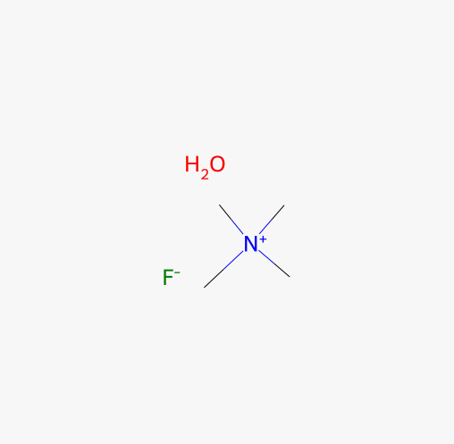 C[N+](C)(C)C.O.[F-]